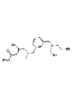 CCCCN(CC(=O)NC)CC(C)Cc1cccc(CN(CCC(C)C)CC(C)C)c1